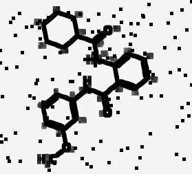 COc1cccc(NC(=O)c2ccccc2NC(=O)C2CCCCC2)c1